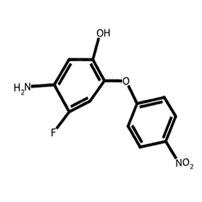 Nc1cc(O)c(Oc2ccc([N+](=O)[O-])cc2)cc1F